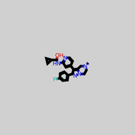 CN1CCn2nc(-c3ccc(F)cc3)c(-c3ccnc(NC(O)C4CC4)c3)c2C1